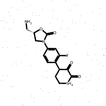 NC[C@H]1CN(c2ccc(C3CC[SH4]C(=O)C3=O)c(F)c2)C(=O)O1